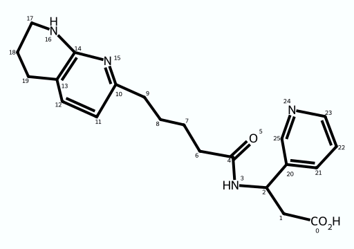 O=C(O)CC(NC(=O)CCCCc1ccc2c(n1)NCCC2)c1cccnc1